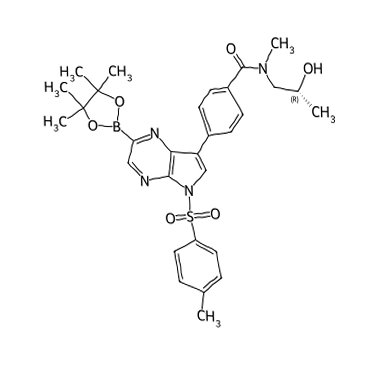 Cc1ccc(S(=O)(=O)n2cc(-c3ccc(C(=O)N(C)C[C@@H](C)O)cc3)c3nc(B4OC(C)(C)C(C)(C)O4)cnc32)cc1